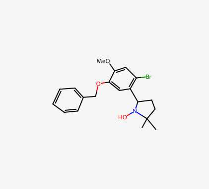 COc1cc(Br)c(C2CCC(C)(C)N2O)cc1OCc1ccccc1